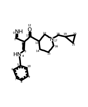 N=C/C(=C\Nc1ccccc1)C(=O)C1CCCN(CC2CC2)C1